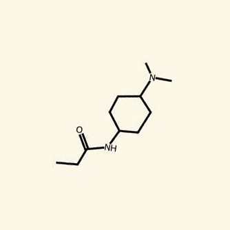 CCC(=O)NC1CCC(N(C)C)CC1